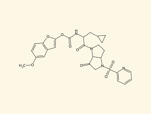 COc1ccc2oc(OC(=O)NC(CC3CC3)C(=O)N3CCC4C3C(=O)CN4S(=O)(=O)c3ccccn3)cc2c1